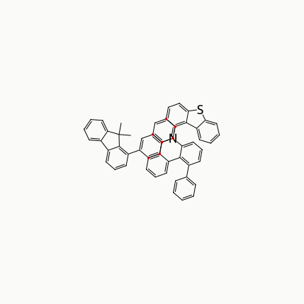 CC1(C)c2ccccc2-c2cccc(-c3ccc(N(c4cccc(-c5ccccc5)c4-c4ccccc4-c4ccccc4)c4cccc5sc6ccccc6c45)cc3)c21